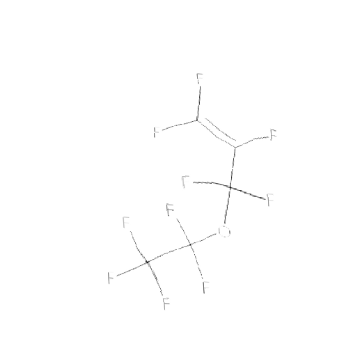 FC(F)=C(F)C(F)(F)OC(F)(F)C(F)(F)F